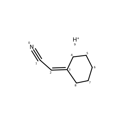 N#CC=C1CCCCC1.[H+]